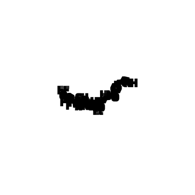 CCc1cc(NC(=O)c2ncc(-c3ccc(OC(F)F)c(F)c3F)n2C)ccc1C(=O)NCCCNC(=O)C1CCN(CC2CCNC2)CC1